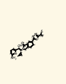 Nc1cccc([C@H](O)[C@@H](C2CC2)N2Cc3ccc(-c4nnc(C(F)F)o4)cc3C2=O)n1